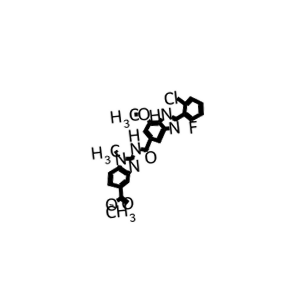 COC(=O)c1ccc2c(c1)nc(NC(=O)c1cc(OC)c3[nH]c(-c4c(F)cccc4Cl)nc3c1)n2C